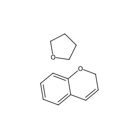 C1=Cc2ccccc2OC1.C1CCOC1